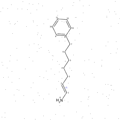 N/C=C/CCCCCc1ccccc1